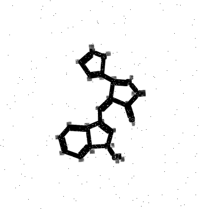 Cn1cc(/C=C2\C(=O)NN=C2c2ccno2)c2ccccc21